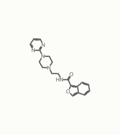 O=C(NCCN1CCN(c2ncccn2)CC1)c1occ2ccccc12